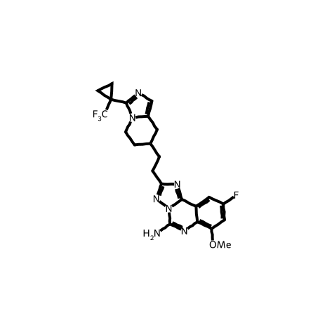 COc1cc(F)cc2c1nc(N)n1nc(CCC3CCn4c(cnc4C4(C(F)(F)F)CC4)C3)nc21